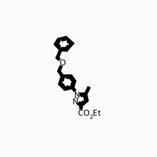 CCOC(=O)c1cc(C)n(-c2ccc(COCc3ccccc3)cc2)n1